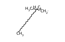 [CH2]C(CC)CCC(CCC)CCCCCCCCCCCCCCCCCCC